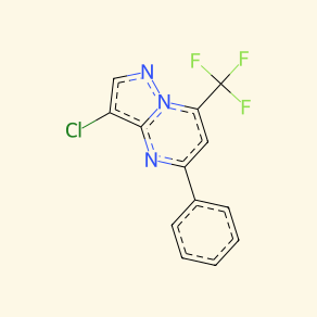 FC(F)(F)c1cc(-c2ccccc2)nc2c(Cl)cnn12